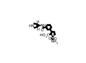 NS(=O)(=O)n1ccc(-c2cccc(C(=O)N[C@H]3[C@@H]4CNC[C@@H]43)c2)c1C(=O)O